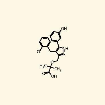 CC(C)(OCc1n[nH]c(-c2cccc(O)c2)c1Cc1ccccc1Cl)C(=O)O